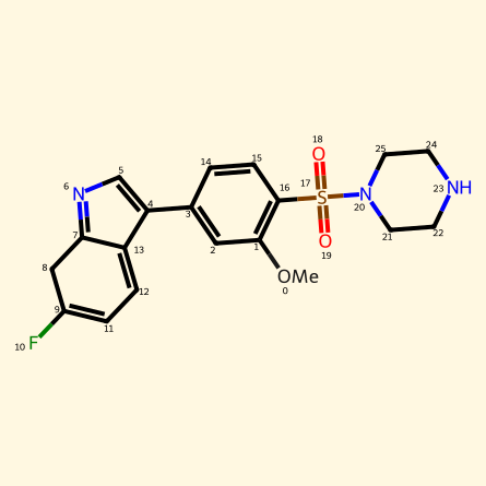 COc1cc(C2=CN=C3CC(F)=CC=C23)ccc1S(=O)(=O)N1CCNCC1